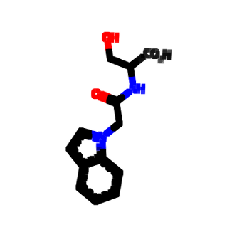 O=C(Cn1ccc2ccccc21)NC(CO)C(=O)O